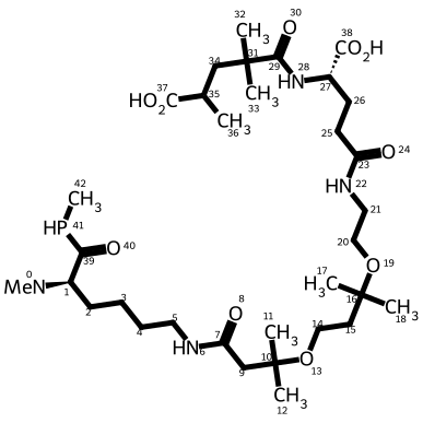 CN[C@H](CCCCNC(=O)CC(C)(C)OCCC(C)(C)OCCNC(=O)CC[C@H](NC(=O)C(C)(C)CC(C)C(=O)O)C(=O)O)C(=O)PC